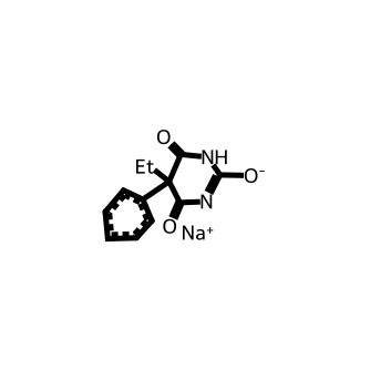 CCC1(c2ccccc2)C(=O)N=C([O-])NC1=O.[Na+]